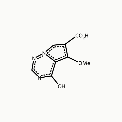 COc1c(C(=O)O)cn2ncnc(O)c12